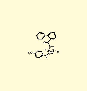 O=C(c1ccccc1-c1ccncc1)N1C[C@H]2C[C@@H](Nc3ccc(C(F)(F)F)cn3)[C@@H]1C2